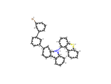 Brc1cccc(-c2cccc(-c3ccc4c5ccccc5n(-c5cccc6sc7ccccc7c56)c4c3)c2)c1